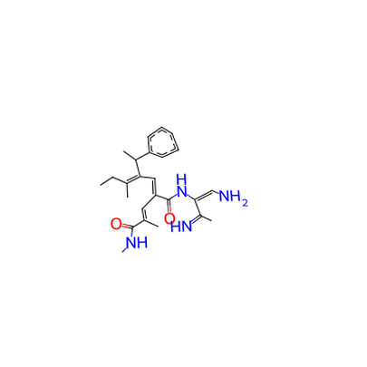 CC/C(C)=C(/C=C(\C=C(/C)C(=O)NC)C(=O)N/C(=C/N)C(C)=N)C(C)c1ccccc1